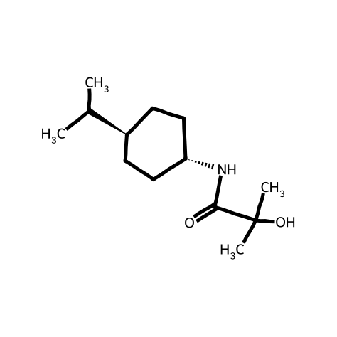 CC(C)[C@H]1CC[C@H](NC(=O)C(C)(C)O)CC1